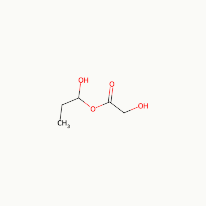 CCC(O)OC(=O)CO